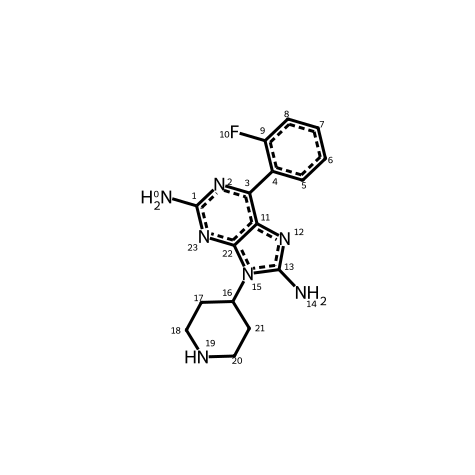 Nc1nc(-c2ccccc2F)c2nc(N)n(C3CCNCC3)c2n1